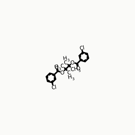 CC(C)(OC(=O)c1cccc(Cl)c1)C(C)(C)OC(=O)c1cccc(Cl)c1